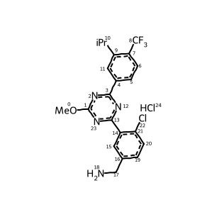 COc1nc(-c2ccc(C(F)(F)F)c(C(C)C)c2)nc(-c2cc(CN)ccc2Cl)n1.Cl